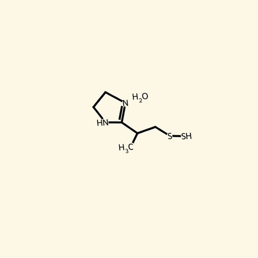 CC(CSS)C1=NCCN1.O